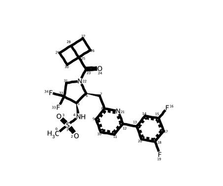 CS(=O)(=O)N[C@@H]1[C@H](Cc2cccc(-c3cc(F)cc(F)c3)n2)N(C(=O)C23CCC2CC3)CC1(F)F